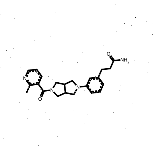 Cc1ncccc1C(=O)N1CC2CN(c3cccc(CCC(N)=O)c3)CC2C1